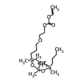 C=COC(=O)OCCOCCC[Si](C)(C)O[Si](C)(C)O[Si](C)(C)CCCC